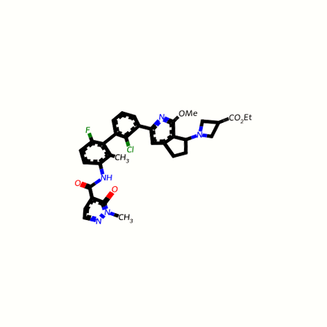 CCOC(=O)C1CN(C2CCc3cc(-c4cccc(-c5c(F)ccc(NC(=O)c6ccnn(C)c6=O)c5C)c4Cl)nc(OC)c32)C1